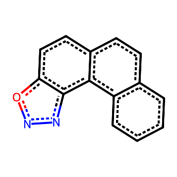 c1ccc2c(c1)ccc1ccc3onnc3c12